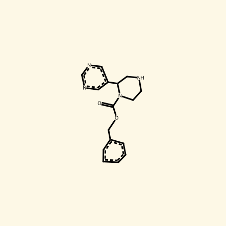 O=C(OCc1ccccc1)N1CCNCC1c1cncnc1